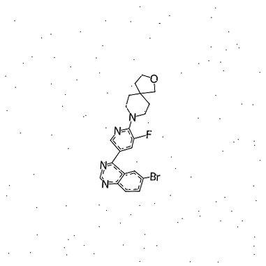 Fc1cc(-c2ncnc3ccc(Br)cc23)cnc1N1CCC2(CCOC2)CC1